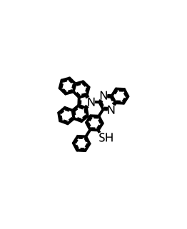 Sc1cc(-c2nc3ccccc3nc2-n2c3ccc4ccccc4c3c3c4ccccc4ccc32)ccc1-c1ccccc1